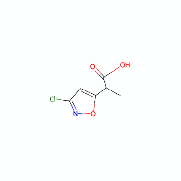 CC(C(=O)O)c1cc(Cl)no1